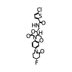 O=C(NC[C@@H]1OC(=O)N2c3ccc(N4CC[C@@H](F)CC4=O)cc3OC[C@@H]12)c1ccc(Cl)s1